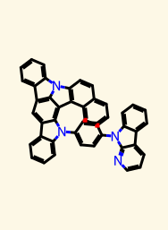 c1ccc2c(c1)ccc1c2c2c3c(cc4c5ccccc5n1c42)c1ccccc1n3-c1ccc(-n2c3ccccc3c3cccnc32)cc1